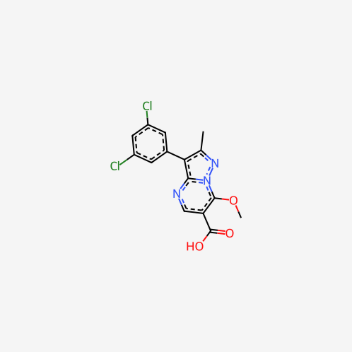 COc1c(C(=O)O)cnc2c(-c3cc(Cl)cc(Cl)c3)c(C)nn12